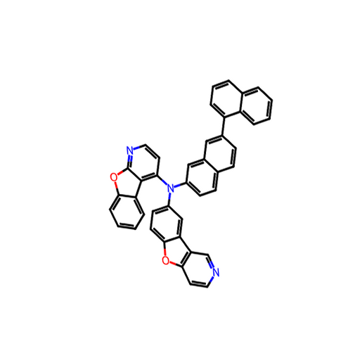 c1ccc2c(-c3ccc4ccc(N(c5ccc6oc7ccncc7c6c5)c5ccnc6oc7ccccc7c56)cc4c3)cccc2c1